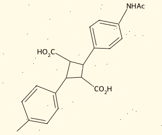 CC(=O)Nc1ccc(C2C(C(=O)O)C(c3ccc(C)cc3)C2C(=O)O)cc1